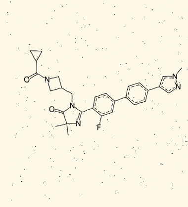 Cn1cc(-c2ccc(-c3ccc(C4=NC(C)(C)C(=O)N4CC4CN(C(=O)C5CC5)C4)c(F)c3)cc2)cn1